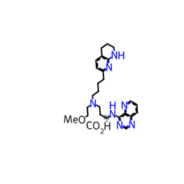 COCCN(CCCCc1ccc2c(n1)NCCC2)CC[C@H](Nc1ncnc2cccnc12)C(=O)O